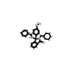 CCOc1ccc(C2(NC(=O)c3ccccc3)c3ccccc3C(=O)N2CC2CCCCC2)cc1